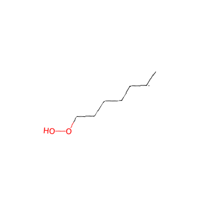 C[CH]CCCCCOO